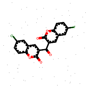 O=C(c1cc2cc(F)ccc2oc1=O)c1cc2cc(Cl)ccc2oc1=O